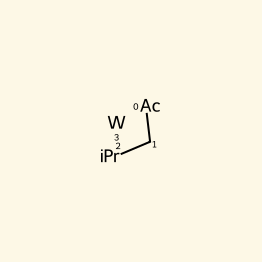 CC(=O)CC(C)C.[W]